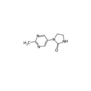 Cc1ncc(N2CCNC2=O)cn1